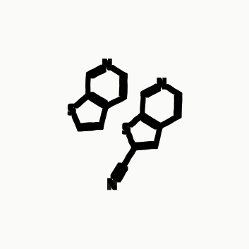 N#Cc1cc2ccncc2s1.c1cc2ccsc2cn1